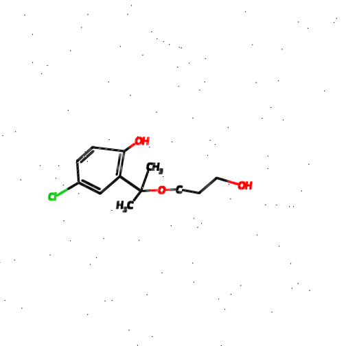 CC(C)(OCCCO)c1cc(Cl)ccc1O